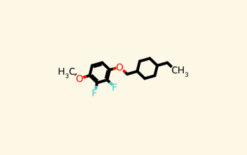 CCC1CCC(COc2ccc(OC)c(F)c2F)CC1